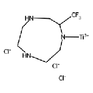 FC(F)(F)C1CNCCNCC[N]1[Ti+3].[Cl-].[Cl-].[Cl-]